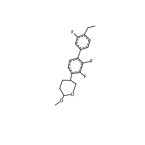 CCc1ccc(-c2ccc(C3CCC(OC)OC3)c(F)c2F)cc1F